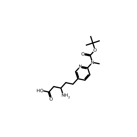 CN(C(=O)OC(C)(C)C)c1ccc(CCC(N)CC(=O)O)cn1